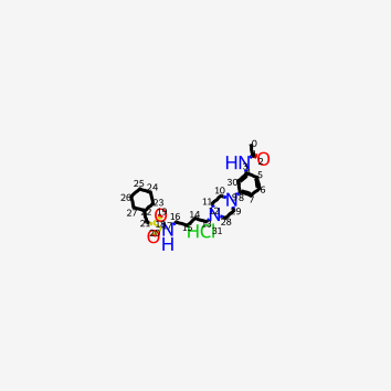 CC(=O)Nc1cccc(N2CCN(CCCCNS(=O)(=O)CC3CCCCC3)CC2)c1.Cl